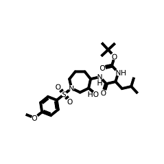 COc1ccc(S(=O)(=O)N2CCCC(NC(=O)C(CC(C)C)NC(=O)OC(C)(C)C)C(O)C2)cc1